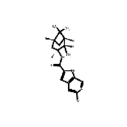 C[C@@H]1[C@@H](NC(=O)c2cc3cc(Br)ncc3[nH]2)C[C@H]2C[C@@H]1C2(C)C